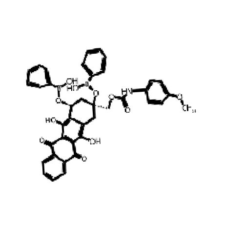 COc1ccc(NC(=O)OC[C@]2(OB(O)c3ccccc3)Cc3c(O)c4c(c(O)c3[C@@H](OB(O)c3ccccc3)C2)C(=O)c2ccccc2C4=O)cc1